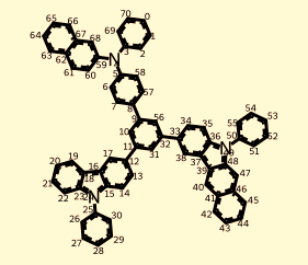 c1ccc(N(c2ccc(-c3cc(-c4ccc5c(c4)c4ccccc4n5-c4ccccc4)cc(-c4ccc5c(c4)c4cc6ccccc6cc4n5-c4ccccc4)c3)cc2)c2ccc3ccccc3c2)cc1